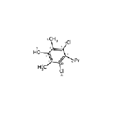 Cc1c(O)c(C)c(Cl)c(C(C)C)c1Cl